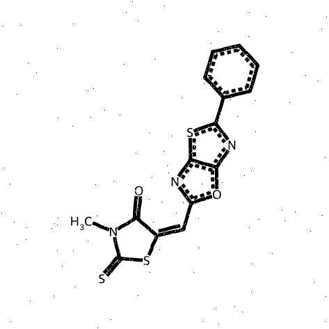 CN1C(=O)/C(=C\c2nc3sc(-c4ccccc4)nc3o2)SC1=S